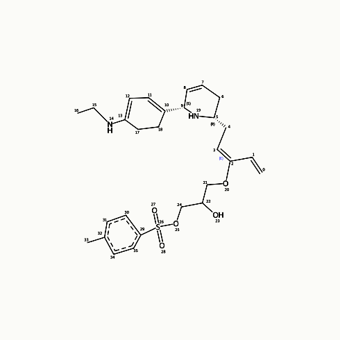 C=C/C(=C\C[C@H]1CC=C[C@@H](C2=CC=C(NCC)CC2)N1)OCC(O)COS(=O)(=O)c1ccc(C)cc1